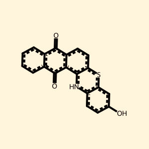 O=c1c2ccccc2c(=O)c2c1ccc1sc3cc(O)ccc3[nH]c12